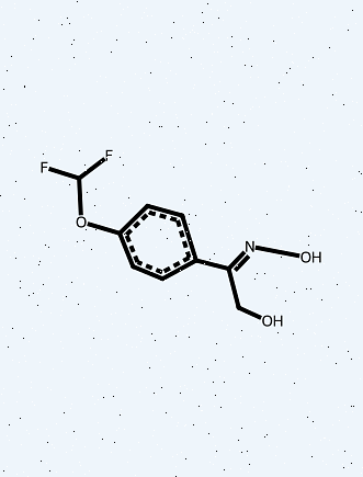 OCC(=NO)c1ccc(OC(F)F)cc1